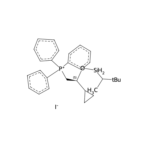 CC([SiH2]O[C@H](C[P+](c1ccccc1)(c1ccccc1)c1ccccc1)C1CC1)C(C)(C)C.[I-]